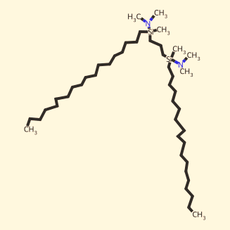 CCCCCCCCCCCCCCCCCC[Si](C)(CCC[Si](C)(CCCCCCCCCCCCCCCCCC)N(C)C)N(C)C